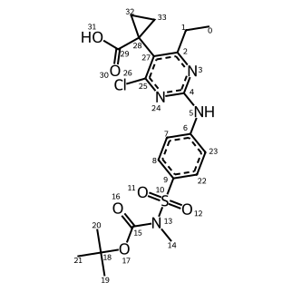 CCc1nc(Nc2ccc(S(=O)(=O)N(C)C(=O)OC(C)(C)C)cc2)nc(Cl)c1C1(C(=O)O)CC1